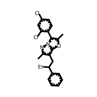 CCC(Cc1c(C)nn2c(-c3ccc(Cl)cc3Cl)c(C)oc12)c1ccccc1